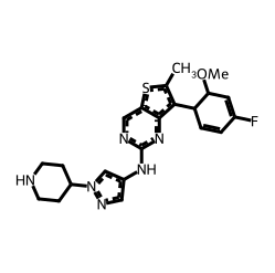 COC1C=C(F)C=CC1c1c(C)sc2cnc(Nc3cnn(C4CCNCC4)c3)nc12